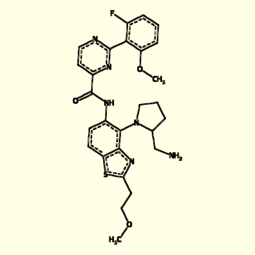 COCCc1nc2c(N3CCCC3CN)c(NC(=O)c3ccnc(-c4c(F)cccc4OC)n3)ccc2s1